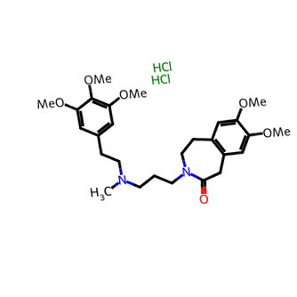 COc1cc2c(cc1OC)CC(=O)N(CCCN(C)CCc1cc(OC)c(OC)c(OC)c1)CC2.Cl.Cl